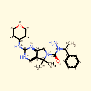 C[C@@H](c1ccccc1)N(N)C(=O)N1CC2=NC(NC3CCOCC3)NC=C2C1(C)C